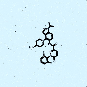 CC(C)n1ncc2c(N3CCC(N)CC3)c(NC(=O)c3ccc(=O)n(-c4c(F)cccc4F)n3)ccc21